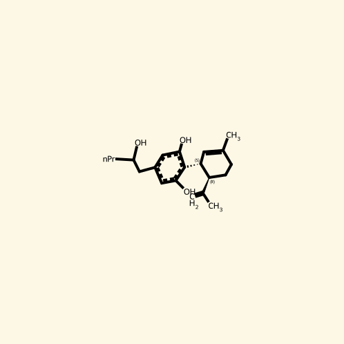 C=C(C)[C@@H]1CCC(C)=C[C@H]1c1c(O)cc(CC(O)CCC)cc1O